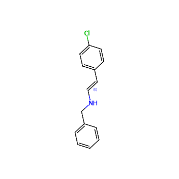 Clc1ccc(/C=C/NCc2ccccc2)cc1